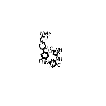 CNC(=O)CN1CCC(c2cc(F)c(Nc3ncc(Cl)c(Nc4cc(C)[nH]n4)n3)cc2C)CC1